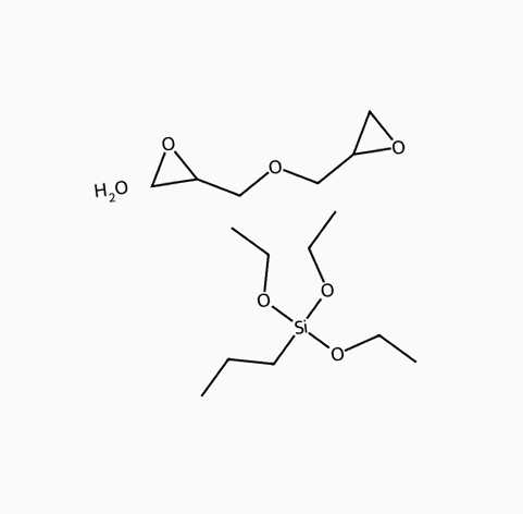 C(OCC1CO1)C1CO1.CCC[Si](OCC)(OCC)OCC.O